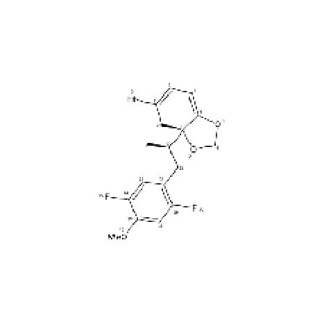 CCC1=CC=C2OCO[C@@]2([C@H](C)Cc2cc(F)c(OC)cc2F)C1